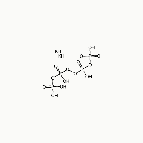 O=P(O)(O)OP(=O)(O)OOP(=O)(O)OP(=O)(O)O.[KH].[KH]